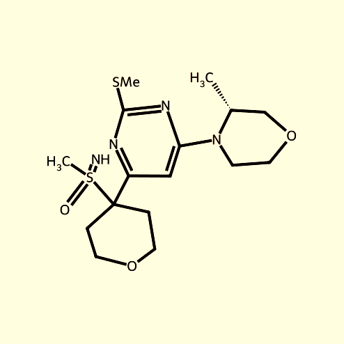 CSc1nc(N2CCOC[C@H]2C)cc(C2(S(C)(=N)=O)CCOCC2)n1